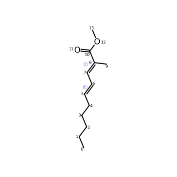 CCCCC/C=C/C=C(\C)C(=O)OC